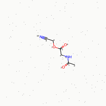 CC(=O)NCC(=O)OCC#N